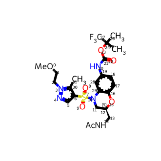 COCCn1ncc(S(=O)(=O)N2C[C@H](CNC(C)=O)Oc3ccc(NC(=O)OC(C)(C)C(F)(F)F)cc32)c1C